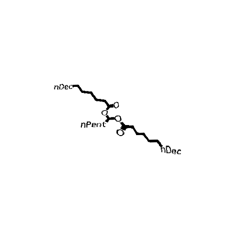 CCCCCCCCCCCCCCCC(=O)OC(CCCCC)OC(=O)CCCCCCCCCCCCCCC